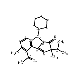 Cc1cc[n+]2c(c1C(=O)O)C1=NC(C)(C(C)C)C(=O)N1[C-]2N1CCCCC1